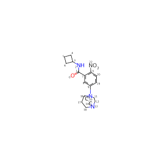 O=C(NC1CCC1)c1cc(N2CCN3CCC2CC3)ccc1[N+](=O)[O-]